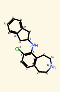 Clc1ccc2c(c1NC1Cc3ccccc3C1)CCNCC2